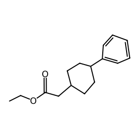 CCOC(=O)CC1CCC(c2ccccc2)CC1